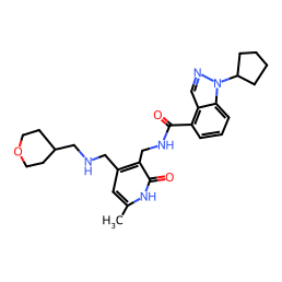 Cc1cc(CNCC2CCOCC2)c(CNC(=O)c2cccc3c2cnn3C2CCCC2)c(=O)[nH]1